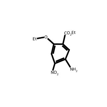 CCOC(=O)c1cc(N)c([N+](=O)[O-])cc1OCC